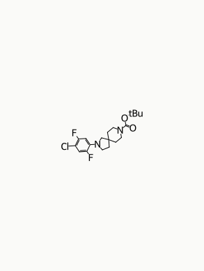 CC(C)(C)OC(=O)N1CCC2(CC1)CCN(c1cc(F)c(Cl)cc1F)C2